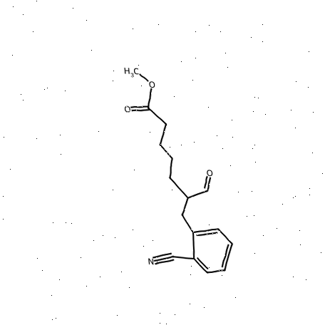 COC(=O)CCCCC(C=O)Cc1ccccc1C#N